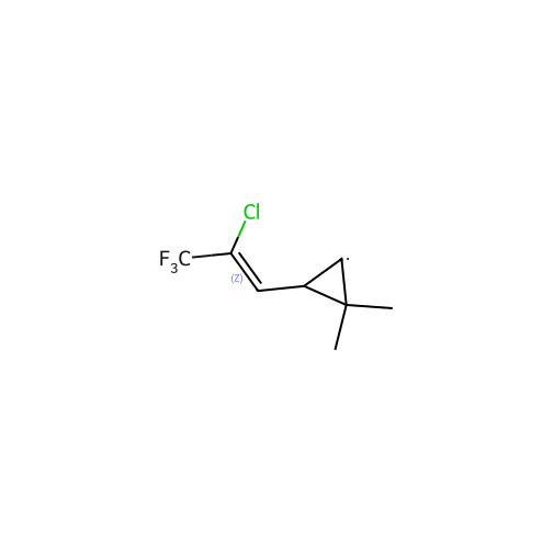 CC1(C)[CH]C1/C=C(\Cl)C(F)(F)F